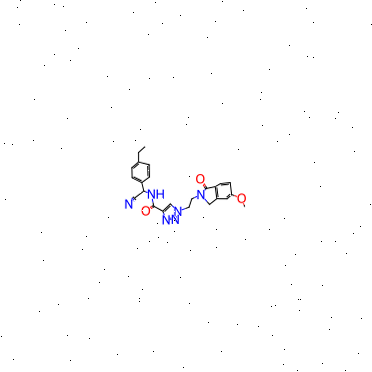 CCc1ccc(C(C#N)NC(=O)c2cn(CCN3Cc4cc(OC)ccc4C3=O)nn2)cc1